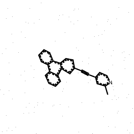 Cc1cc(C#Cc2ccc3c4ccccc4c4ccccc4c3c2)ccn1